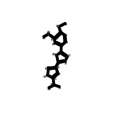 COc1ccc(-c2nnc(-c3cc(C(C)C)on3)o2)cc1OC